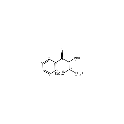 CCCCC(C(=O)c1ccccc1)C(C(=O)O)C(=O)OCC